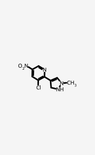 CN1C=C(c2ncc([N+](=O)[O-])cc2Cl)CN1